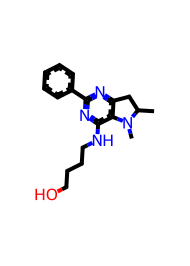 CC1Cc2nc(-c3ccccc3)nc(NCCCCO)c2N1C